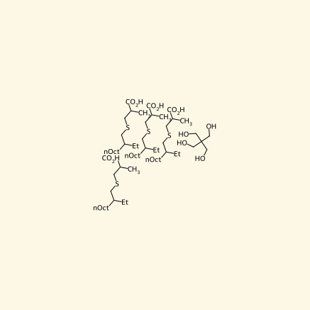 CCCCCCCCC(CC)CSCC(C)C(=O)O.CCCCCCCCC(CC)CSCC(C)C(=O)O.CCCCCCCCC(CC)CSCC(C)C(=O)O.CCCCCCCCC(CC)CSCC(C)C(=O)O.OCC(CO)(CO)CO